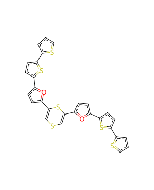 C1=C(c2ccc(-c3ccc(-c4cccs4)s3)o2)SC(c2ccc(-c3ccc(-c4cccs4)s3)o2)=CS1